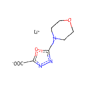 O=C([O-])c1nnc(N2CCOCC2)o1.[Li+]